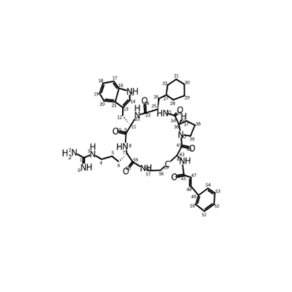 N=C(N)NCCC[C@@H]1NC(=O)[C@H](Cc2c[nH]c3ccccc23)NC(=O)[C@@H](CC2CCCCC2)NC(=O)[C@@H]2CCCN2C(=O)[C@@H](NC(=O)/C=C/c2ccccc2)CCCNC1=O